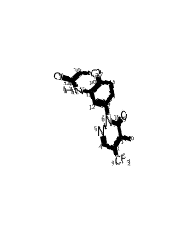 Cc1c(C(F)(F)F)cnn(-c2ccc3c(c2)NC(=O)CO3)c1=O